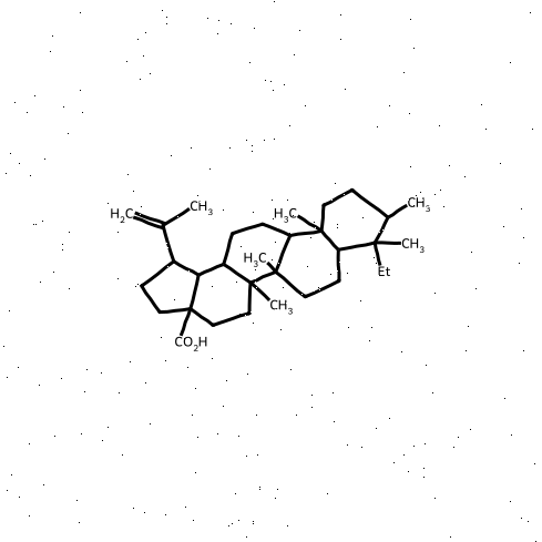 C=C(C)C1CCC2(C(=O)O)CCC3(C)C(CCC4C5(C)CCC(C)C(C)(CC)C5CCC43C)C12